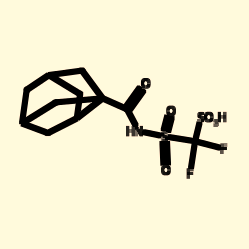 O=C(NS(=O)(=O)C(F)(F)S(=O)(=O)O)C12CC3CC(CC1C3)C2